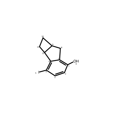 Oc1ccc(I)c2c1CC1CCC21